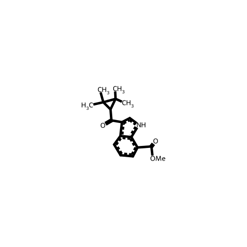 COC(=O)c1cccc2c(C(=O)C3C(C)(C)C3(C)C)c[nH]c12